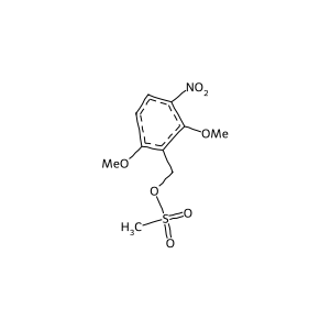 COc1ccc([N+](=O)[O-])c(OC)c1COS(C)(=O)=O